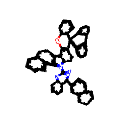 c1ccc2c(c1)Oc1c(ccc3c1c1ccc4ccccc4c1n3-c1nc(-c3ccc4ccccc4c3)c3ccccc3n1)C21c2ccccc2-c2ccccc21